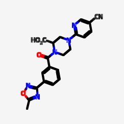 Cc1nc(-c2cccc(C(=O)N3CCN(c4ccc(C#N)cn4)CC3C(=O)O)c2)no1